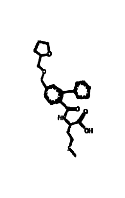 CSCCC(NC(=O)c1ccc(COCC2CCCO2)cc1-c1ccccc1)C(=O)O